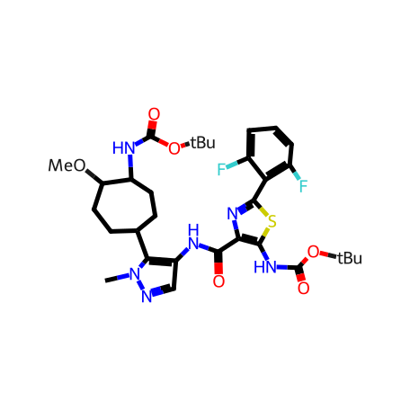 COC1CCC(c2c(NC(=O)c3nc(-c4c(F)cccc4F)sc3NC(=O)OC(C)(C)C)cnn2C)CCC1NC(=O)OC(C)(C)C